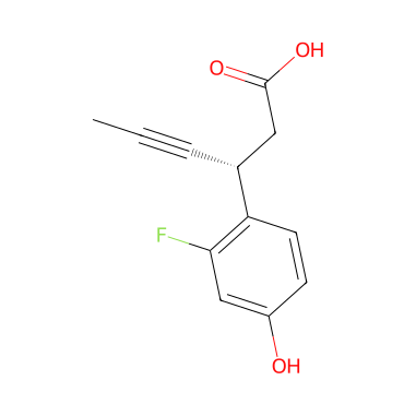 CC#C[C@H](CC(=O)O)c1ccc(O)cc1F